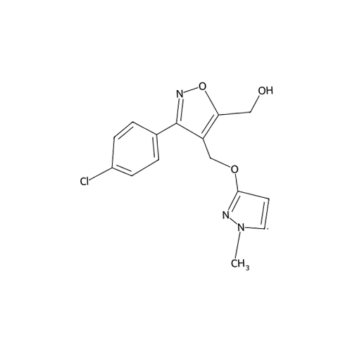 Cn1[c]cc(OCc2c(-c3ccc(Cl)cc3)noc2CO)n1